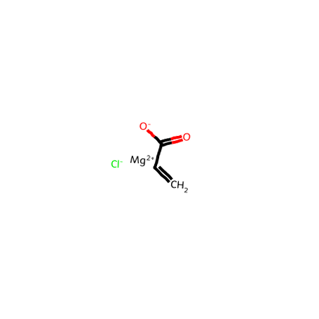 C=CC(=O)[O-].[Cl-].[Mg+2]